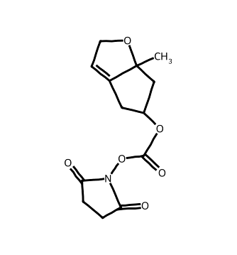 CC12CC(OC(=O)ON3C(=O)CCC3=O)CC1=CCO2